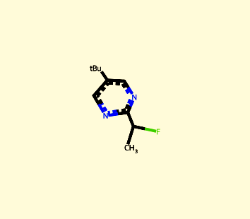 CC(F)c1ncc(C(C)(C)C)cn1